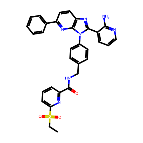 CCS(=O)(=O)c1cccc(C(=O)NCc2ccc(-n3c(-c4cccnc4N)nc4ccc(-c5ccccc5)nc43)cc2)n1